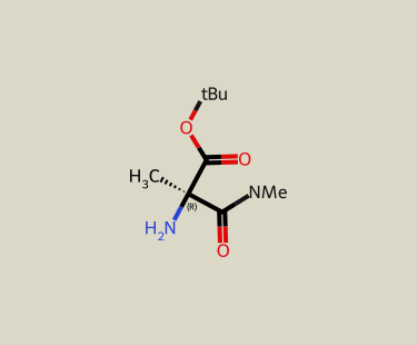 CNC(=O)[C@@](C)(N)C(=O)OC(C)(C)C